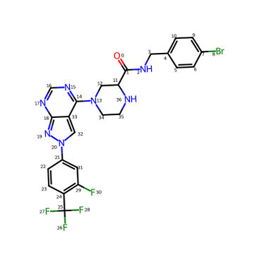 O=C(NCc1ccc(Br)cc1)C1CN(c2ncnc3nn(-c4ccc(C(F)(F)F)c(F)c4)cc23)CCN1